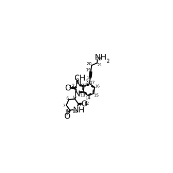 Cn1c(=O)n(C2CCC(=O)NC2=O)c2cccc(C#CCCN)c21